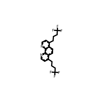 FC(F)(F)CCCc1ccnc2c1ccc1c(CCCC(F)(F)F)ccnc12